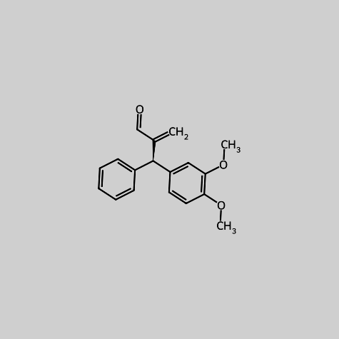 C=C(C=O)[C@H](c1ccccc1)c1ccc(OC)c(OC)c1